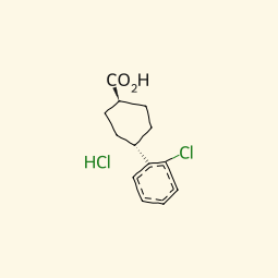 Cl.O=C(O)[C@H]1CC[C@H](c2ccccc2Cl)CC1